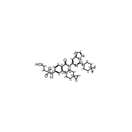 O=C(Nc1cc2ncnn2c(N2CCC(F)(F)CC2)n1)c1ccc(NS(=O)(=O)CCO)cc1N1CCC2(CC1)CC2